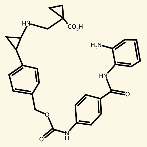 Nc1ccccc1NC(=O)c1ccc(NC(=O)OCc2ccc(C3CC3NCC3(C(=O)O)CC3)cc2)cc1